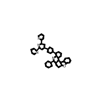 c1ccc(-c2nc3c(-c4ccc(-c5cc(-c6ccccn6)nc(-c6ccccn6)c5)cc4)cccc3c3c2ccc2oc4ccccc4c23)cc1